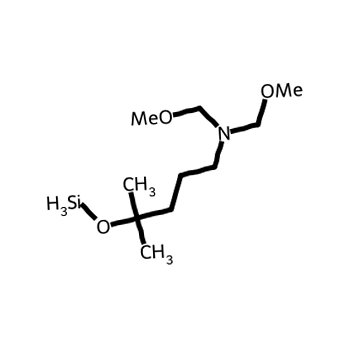 COCN(CCCC(C)(C)O[SiH3])COC